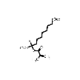 C=C(C)C(=O)OC(F)(CCCCCCCCC)CCCCCCCCCCCCCCCCC